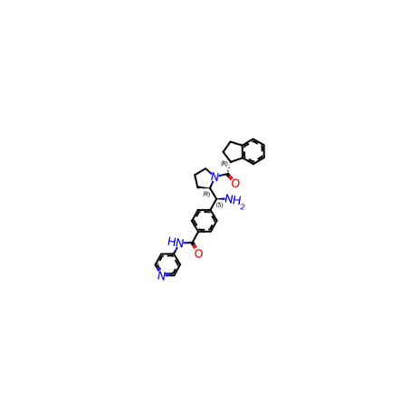 N[C@@H](c1ccc(C(=O)Nc2ccncc2)cc1)[C@H]1CCCN1C(=O)[C@@H]1CCc2ccccc21